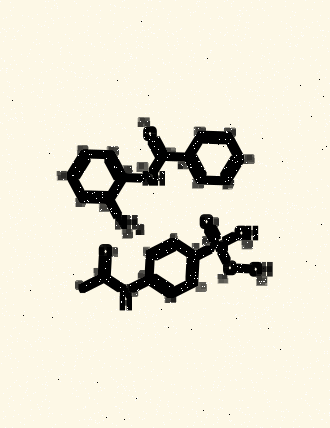 CC(=O)Nc1ccc([As](=O)(O)OO)cc1.Nc1ccccc1NC(=O)c1ccccc1